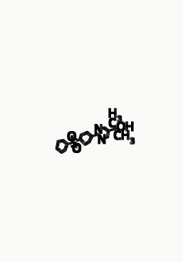 CC(C)(O)c1cnc(-c2ccc(S(=O)(=O)c3ccccc3)cc2)nc1